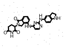 O=C1CCC(N2Cc3c(Nc4ccnc(Nc5ccc6c(c5)CCN6)n4)cccc3C2=O)C(=O)N1